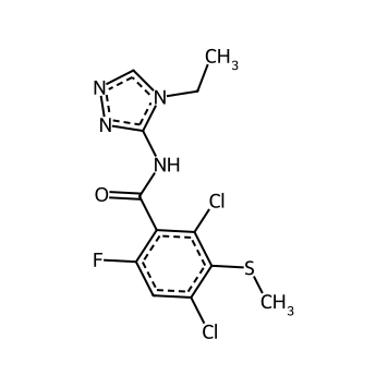 CCn1cnnc1NC(=O)c1c(F)cc(Cl)c(SC)c1Cl